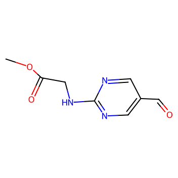 COC(=O)CNc1ncc(C=O)cn1